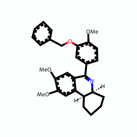 COc1cc2c(cc1OC)[C@@H]1CCCC[C@@H]1N=C2c1ccc(OC)c(OCc2ccccc2)c1